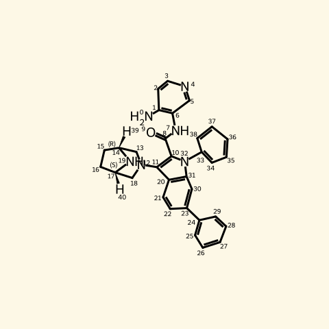 Nc1ccncc1NC(=O)c1c(N2C[C@H]3CC[C@@H](C2)N3)c2ccc(-c3ccccc3)cc2n1-c1ccccc1